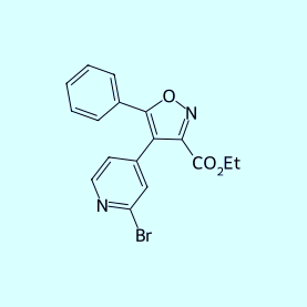 CCOC(=O)c1noc(-c2ccccc2)c1-c1ccnc(Br)c1